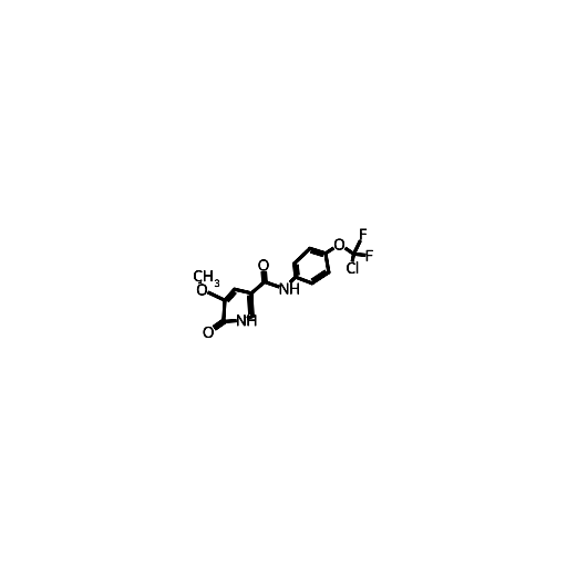 COc1cc(C(=O)Nc2ccc(OC(F)(F)Cl)cc2)c[nH]c1=O